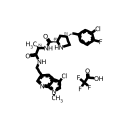 C[C@H](NC(=O)[C@H]1C[C@H](Cc2ccc(F)c(Cl)c2)CN1)C(=O)NCc1cnc2c(c1)c(Cl)cn2C.O=C(O)C(F)(F)F